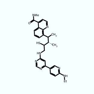 CCNc1ccc(-c2cc(NCC(S)[C@@H](C)C(C)c3cccc4c(C(=O)NC)ccnc34)ncn2)cn1